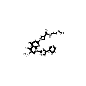 CCOCCNC(=O)C1CN(c2cc(C)c3c(=O)c(C(=O)O)cn(-c4nc(-c5cccnc5)cs4)c3n2)C1